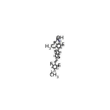 CCCc1cc(F)c(C#Cc2cc3sc(-c4cc(F)c(/C=N/O)c(F)c4CC)cc3s2)c(F)c1